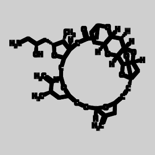 C=C1CC2CC[C@@]34C[C@H]5O[C@H]6[C@@H](O3)[C@H]3OC(CC[C@@H]3O[C@H]6C5O4)CC(=O)C[C@H]3C(C[C@H]4OC(CC[C@@H]1O2)C[C@@H](C)C4=C)O[C@H](C[C@@H](O)CN)[C@@H]3C